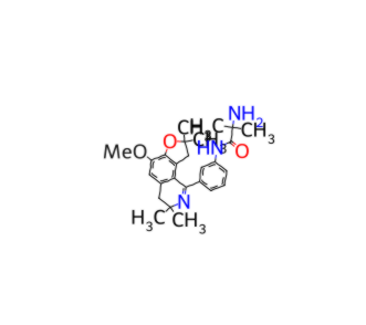 COc1cc2c(c3c1OC(C)(C)C3)C(c1cccc(NC(=O)C(C)(C)N)c1)=NC(C)(C)C2